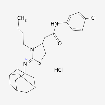 CCCCN1/C(=N/C23CC4CC(CC(C4)C2)C3)SCC1CC(=O)Nc1ccc(Cl)cc1.Cl